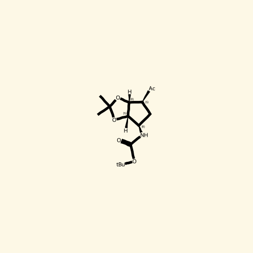 CC(=O)[C@H]1C[C@@H](NC(=O)OC(C)(C)C)[C@@H]2OC(C)(C)O[C@@H]21